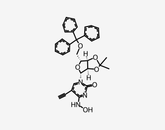 C#Cc1cn([C@@H]2O[C@H](COC(c3ccccc3)(c3ccccc3)c3ccccc3)[C@H]3OC(C)(C)O[C@H]32)c(=O)nc1NO